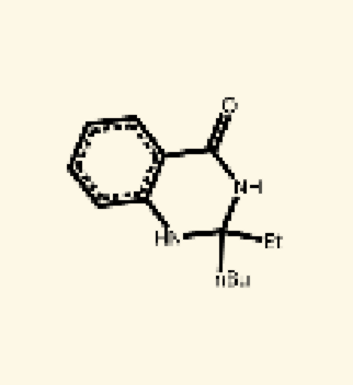 CCCCC1(CC)NC(=O)c2ccccc2N1